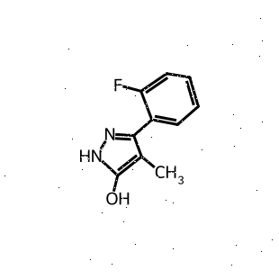 Cc1c(-c2ccccc2F)n[nH]c1O